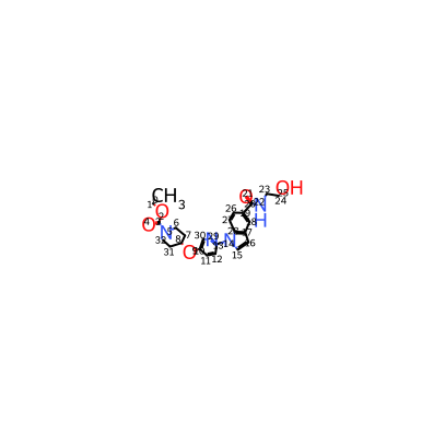 CCOC(=O)N1CCC(Oc2ccc(-n3ccc4cc(C(=O)NCCO)ccc43)nc2)CC1